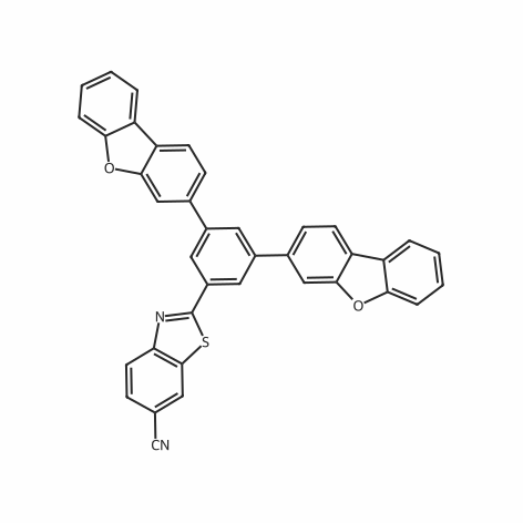 N#Cc1ccc2nc(-c3cc(-c4ccc5c(c4)oc4ccccc45)cc(-c4ccc5c(c4)oc4ccccc45)c3)sc2c1